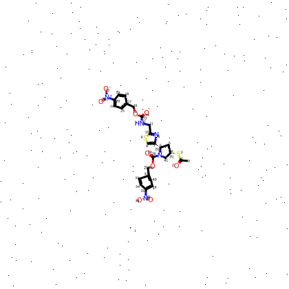 CC(=O)S[C@H]1C[C@@H](c2csc(CNC(=O)OCc3ccc([N+](=O)[O-])cc3)n2)N(C(=O)OCc2ccc([N+](=O)[O-])cc2)C1